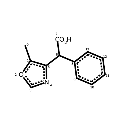 Cc1ocnc1C(C(=O)O)c1ccccc1